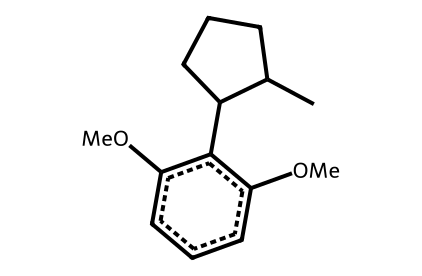 COc1cccc(OC)c1C1CCCC1C